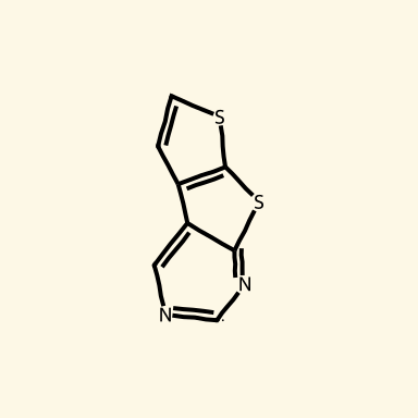 [c]1ncc2c(n1)sc1sccc12